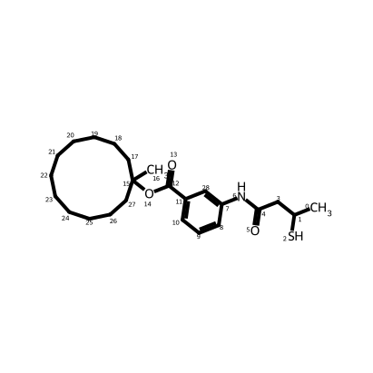 CC(S)CC(=O)Nc1cccc(C(=O)OC2(C)CCCCCCCCCCC2)c1